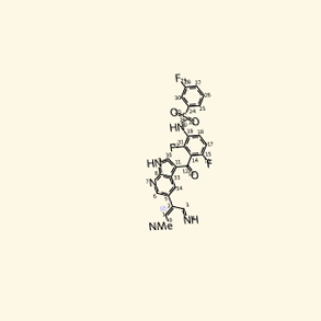 CN/C=C(\C=N)c1cnc2[nH]cc(C(=O)c3c(F)ccc(NS(=O)(=O)c4cccc(F)c4)c3F)c2c1